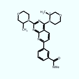 CNC(=O)c1cccc(-c2ccc3c(N4CCOC[C@@H]4C)nc(N4CCOCC4C)nc3n2)c1